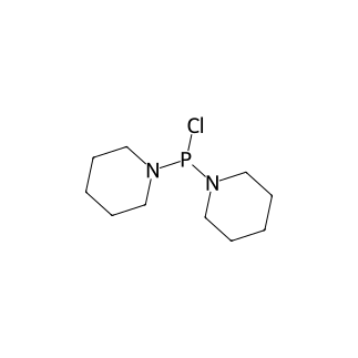 ClP(N1CCCCC1)N1CCCCC1